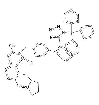 CCCCc1nc2ccc(OC)c(CC3CCCO3)c2c(=O)n1Cc1ccc(-c2ccccc2-c2nnnn2C(c2ccccc2)(c2ccccc2)c2ccccc2)cc1